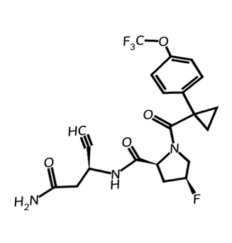 C#C[C@H](CC(N)=O)NC(=O)[C@@H]1C[C@H](F)CN1C(=O)C1(c2ccc(OC(F)(F)F)cc2)CC1